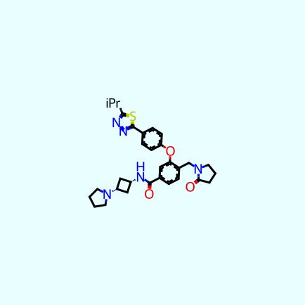 CC(C)c1nnc(-c2ccc(Oc3cc(C(=O)N[C@H]4C[C@@H](N5CCCC5)C4)ccc3CN3CCCC3=O)cc2)s1